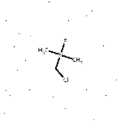 C[Si](C)(F)CCl